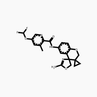 Cc1cc(OC(F)F)cnc1C(=O)Nc1ccc2c(c1)C1(COC(N)=N1)C1(CC1)CO2